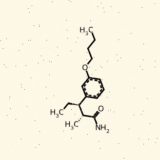 CCCCOc1cccc([C@H](CC)[C@@H](C)C(N)=O)c1